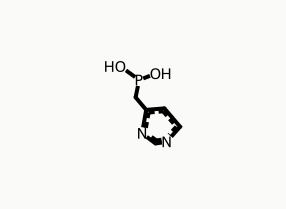 OP(O)Cc1ccncn1